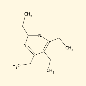 CCc1nc(CC)c(CC)c(CC)n1